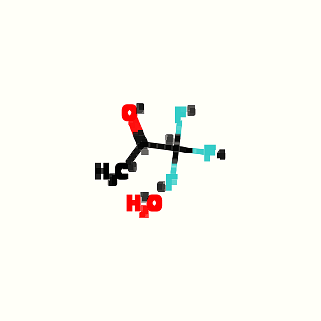 CC(=O)C(F)(F)F.O